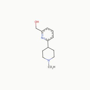 O=C(O)N1CCC(c2cccc(CO)n2)CC1